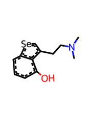 CN(C)CCc1c[se]c2cccc(O)c12